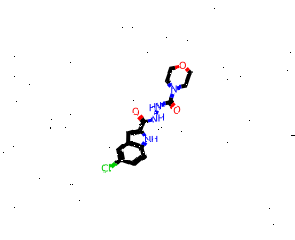 O=C(NNC(=O)N1CCOCC1)c1cc2cc(Cl)ccc2[nH]1